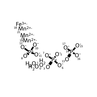 O.O.O.O=P([O-])([O-])[O-].O=P([O-])([O-])[O-].O=P([O-])([O-])[O-].[Fe+3].[Mn+2].[Mn+2].[Mn+2]